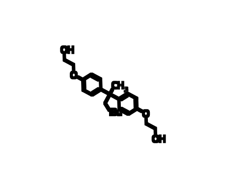 CCC(C)CC(C)(c1ccc(OCCO)cc1)c1ccc(OCCO)cc1